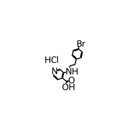 Cl.O=C(O)c1ccncc1NCCc1ccc(Br)cc1